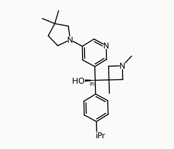 CC(C)c1ccc([C@](O)(c2cncc(N3CCC(C)(C)C3)c2)C2(C)CN(C)C2)cc1